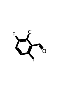 O=Cc1c(I)ccc(F)c1Cl